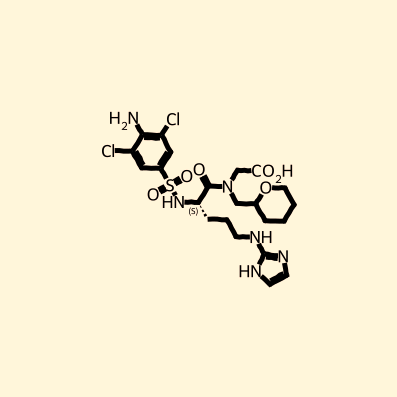 Nc1c(Cl)cc(S(=O)(=O)N[C@@H](CCCNc2ncc[nH]2)C(=O)N(CC(=O)O)CC2CCCCO2)cc1Cl